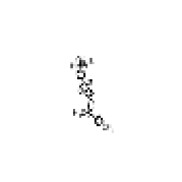 Cc1nc(-c2ccc(C(F)(F)F)cc2)sc1COc1ccc2c(=O)c(-c3ccc(NS(C)(=O)=O)cc3)coc2c1